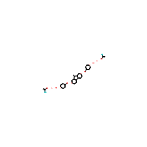 C=C(C(=O)OCOC(=O)Oc1ccc(C(=O)Oc2ccc3c(c2)C(C)c2cc(OC(=O)c4ccc(OC(=O)OCOC(=O)C(=C)C(F)(F)F)cc4)ccc2-3)cc1)C(F)(F)F